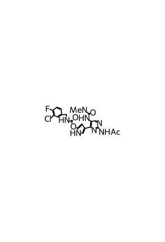 CNC(=O)Nc1cnc(NC(C)=O)nc1-c1c[nH]c(OC(=O)NCc2ccc(F)c(Cl)c2)c1